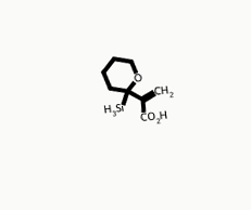 C=C(C(=O)O)C1([SiH3])CCCCO1